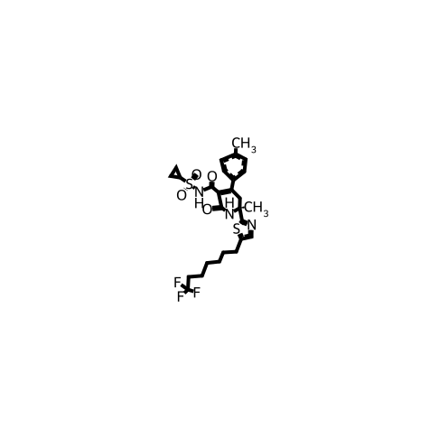 Cc1ccc(C2=C(C(=O)NS(=O)(=O)C3CC3)C(=O)N[C@](C)(c3ncc(CCCCCCC(F)(F)F)s3)C2)cc1